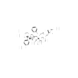 Cc1nc(CN2C(=O)CN(C(C(N)=O)(C(C)C)[C@H](Cc3ccccc3)[C@@H](O)CN(CC(C)C)S(=O)(=O)c3ccc(O)cc3)C2=O)cs1